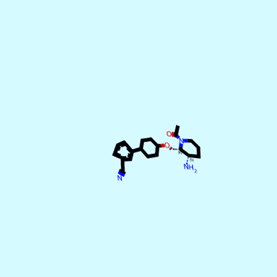 CC(=O)N1CCC[C@H](N)[C@@H]1COC1CCC(c2cccc(C#N)c2)CC1